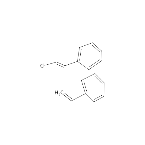 C=Cc1ccccc1.ClC=Cc1ccccc1